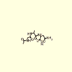 CC(=O)NCC(=O)NC(C)C(=O)N[C@@H](CC(N)=O)C(=O)O